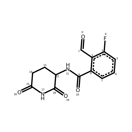 O=Cc1c(F)cccc1C(=O)NC1CCC(=O)NC1=O